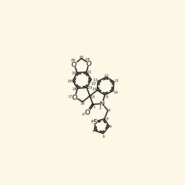 O=C1N(Cc2cccs2)c2ccccc2C12COc1cc3c(cc12)OCO3